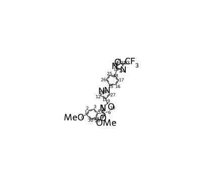 COc1ccc(S(C)(=O)=NC(=O)c2cnn(-c3ccc(-c4noc(C(F)(F)F)n4)cc3)c2)c(OC)c1